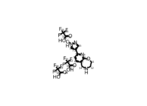 Cn1cc(-c2ccc3c(n2)OCCNC3)cn1.O=C(O)C(F)(F)F.O=C(O)C(F)(F)F.O=C(O)C(F)(F)F